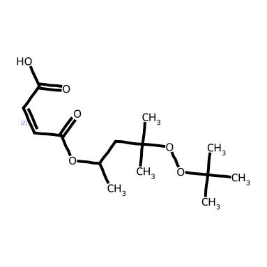 CC(CC(C)(C)OOC(C)(C)C)OC(=O)/C=C\C(=O)O